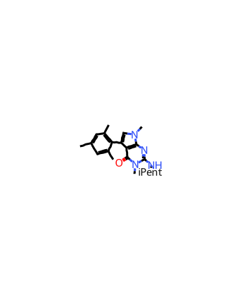 CCCC(C)Nc1nc2c(c(-c3c(C)cc(C)cc3C)cn2C)c(=O)n1C